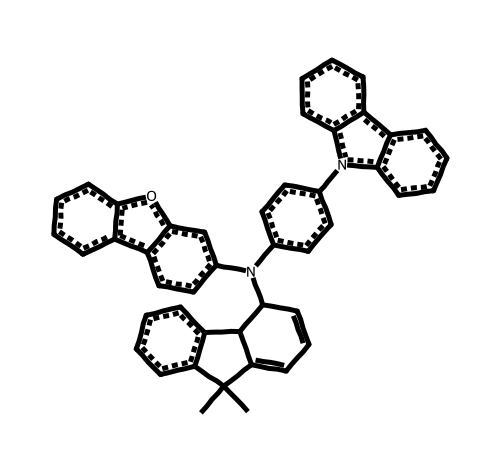 CC1(C)C2=CC=CC(N(c3ccc(-n4c5ccccc5c5ccccc54)cc3)c3ccc4c(c3)oc3ccccc34)C2c2ccccc21